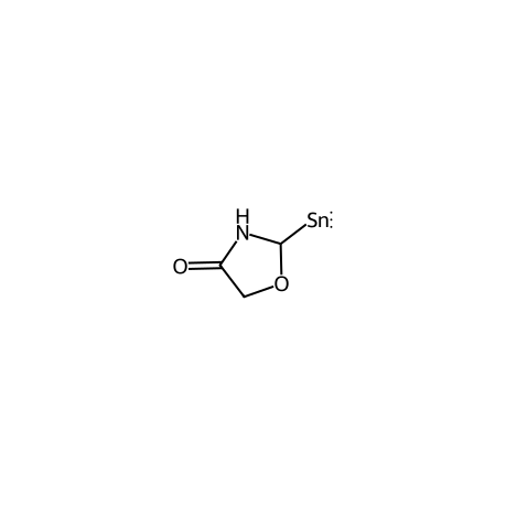 O=C1CO[CH]([Sn])N1